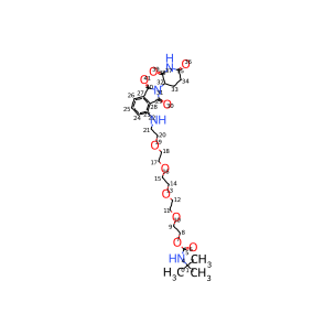 CC(C)(C)NC(=O)OCCOCCOCCOCCOCCNc1cccc2c1C(=O)N(C1CCC(=O)NC1=O)C2=O